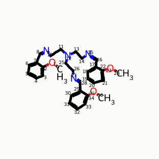 COc1ccccc1/C=N\CCN(CC/N=C\c1ccccc1OC)CC/N=C/c1ccccc1OC